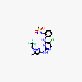 Cc1cc(Nc2ncc(Cl)c(Nc3ccccc3NS(C)(=O)=O)n2)nn1CC(F)(F)F